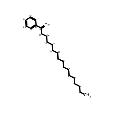 CCCCCCCCCCCCCCCCC(=O)c1cc[c]cc1